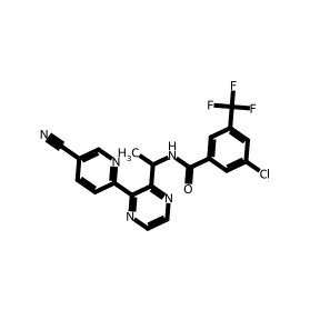 CC(NC(=O)c1cc(Cl)cc(C(F)(F)F)c1)c1nccnc1-c1ccc(C#N)cn1